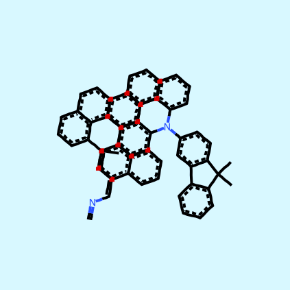 C=N/C=C\C=C(/C)c1cccc2cccc(-c3cccc(N(c4ccc5c(c4)-c4ccccc4C5(C)C)c4ccccc4-c4cccc(-c5cccc6ccccc56)c4)c3-c3ccccc3)c12